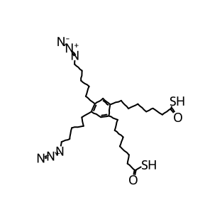 [N-]=[N+]=NCCCCCc1cc(CCCCCCC(=O)S)c(CCCCCCC(=O)S)cc1CCCCCN=[N+]=[N-]